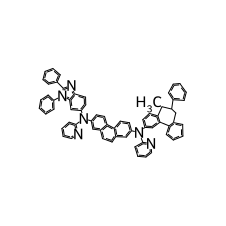 CC1c2ccc(N(c3ccc4c(ccc5cc(N(c6ccc7nc(-c8ccccc8)n(-c8ccccc8)c7c6)c6ccccn6)ccc54)c3)c3ccccn3)cc2-c2ccccc2CC1c1ccccc1